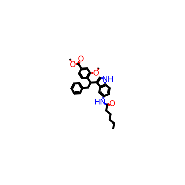 CCCCCC(=O)Nc1ccc2[nH]cc(C(Cc3ccccc3)c3ccc(C(=O)OC)cc3OC)c2c1